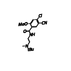 COc1cc(Cl)c(C#N)cc1C(=O)NCCN(C)C(C)(C)C